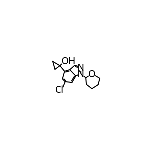 OC1(c2cc(Cl)cc3c2cnn3C2CCCCO2)CC1